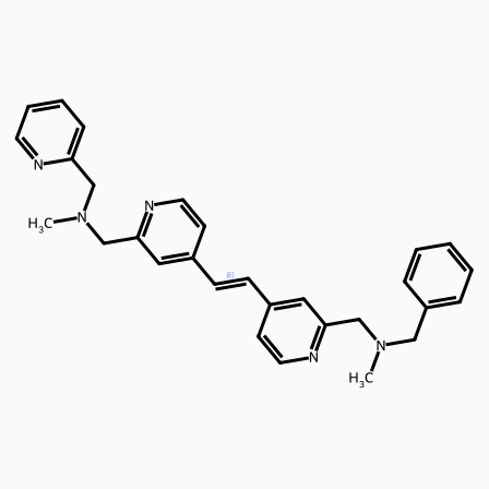 CN(Cc1ccccc1)Cc1cc(/C=C/c2ccnc(CN(C)Cc3ccccn3)c2)ccn1